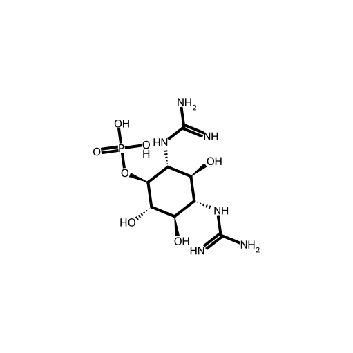 N=C(N)N[C@@H]1[C@@H](O)[C@H](O)[C@@H](OP(=O)(O)O)[C@H](NC(=N)N)[C@H]1O